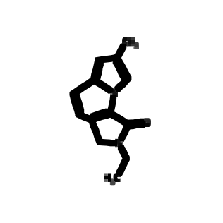 CCN1Cc2ccc3cc(C)cn3c2C1=O